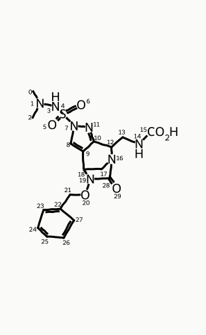 CN(C)NS(=O)(=O)n1cc2c(n1)C(CNC(=O)O)N1CC2N(OCc2ccccc2)C1=O